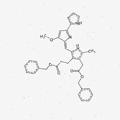 COC1=CC(c2ccc[nH]2)=N/C1=C\c1[nH]c(C)c(CC(=O)OCc2ccccc2)c1CCC(=O)OCc1ccccc1